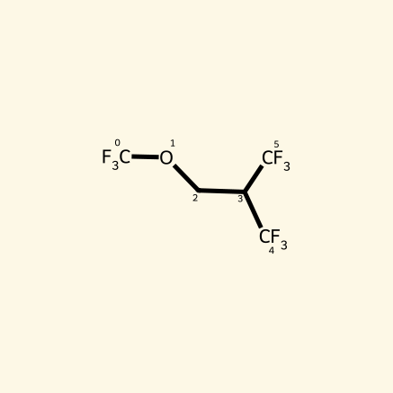 FC(F)(F)OCC(C(F)(F)F)C(F)(F)F